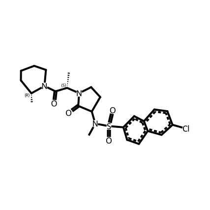 C[C@@H]1CCCCN1C(=O)[C@H](C)N1CCC(N(C)S(=O)(=O)c2ccc3cc(Cl)ccc3c2)C1=O